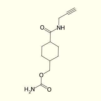 C#CCNC(=O)C1CCC(COC(N)=O)CC1